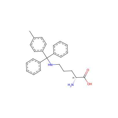 Cc1ccc(C(NCCC[C@@H](N)C(=O)O)(c2ccccc2)c2ccccc2)cc1